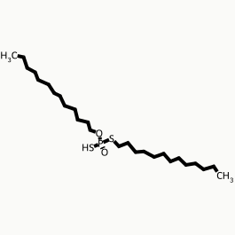 CCCCCCCCCCCCCOP(=O)(S)SCCCCCCCCCCCCC